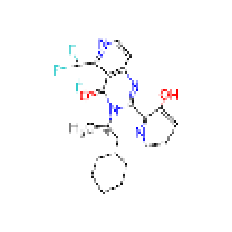 C[C@H](CC1CCCCC1)n1c(-c2ncccc2O)nc2ccnc(C(F)(F)F)c2c1=O